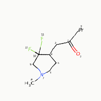 CC(C)C(=O)CC1CCN(C)CC1(F)F